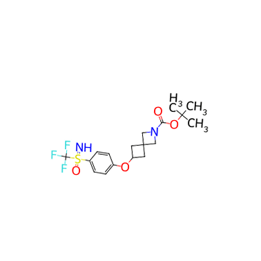 CC(C)(C)OC(=O)N1CC2(CC(Oc3ccc(S(=N)(=O)C(F)(F)F)cc3)C2)C1